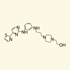 OCCN1CCN(CCCNc2cccc(Nc3nccc(-c4nccs4)n3)c2)CC1